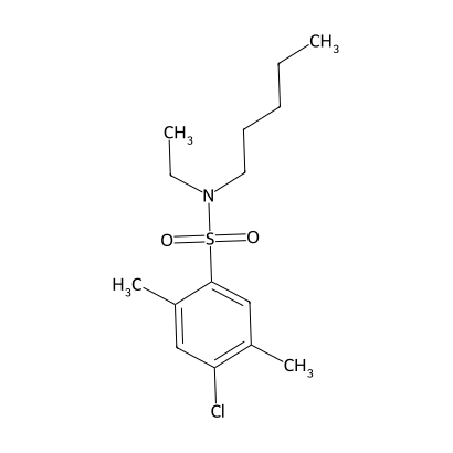 CCCCCN(CC)S(=O)(=O)c1cc(C)c(Cl)cc1C